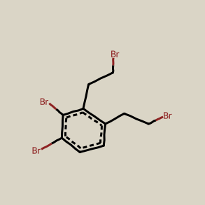 BrCCc1ccc(Br)c(Br)c1CCBr